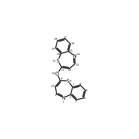 C1=Nc2ccccc2SC(OC2=CC=Nc3ccccc3S2)=C1